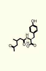 CC(=O)CC(C)CC(=O)N[C@@H](Cc1ccc(O)cc1)C(=O)O